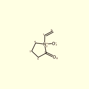 C=C[N+]1([O-])CCCC1=O